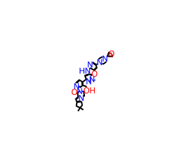 Cn1nc(-c2ccnc(N3CCn4c(cc5c4CC(C)(C)C5)C3=O)c2CO)cc(Nc2ccc(N3CCN(C4COC4)CC3)cn2)c1=O